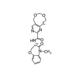 CN1C(=O)[C@@H](NC(=O)c2ncc3c(n2)CCOCOC3)COc2ccccc21